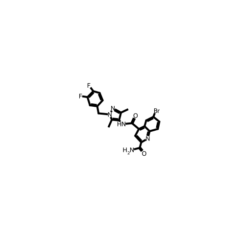 Cc1nn(Cc2ccc(F)c(F)c2)c(C)c1NC(=O)c1cc(C(N)=O)nc2ccc(Br)cc12